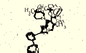 Cc1cn2nc(-c3cccc(-c4cccnc4)c3)cc2c(N2CCC(C)(C)CC2)c1[C@H](OC(C)(C)C)C(=O)O